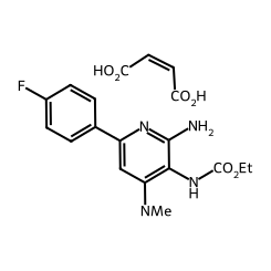 CCOC(=O)Nc1c(NC)cc(-c2ccc(F)cc2)nc1N.O=C(O)/C=C\C(=O)O